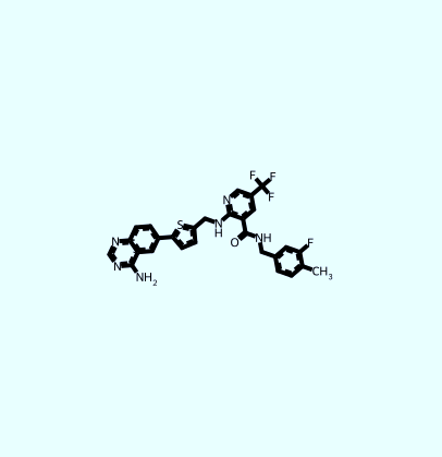 Cc1ccc(CNC(=O)c2cc(C(F)(F)F)cnc2NCc2ccc(-c3ccc4ncnc(N)c4c3)s2)cc1F